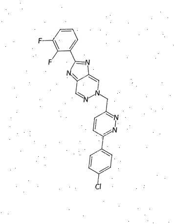 Fc1cccc(-c2nc3cnn(Cc4ccc(-c5ccc(Cl)cc5)nn4)cc-3n2)c1F